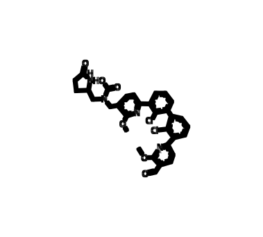 COc1nc(-c2cccc(-c3cccc(-c4ccc(CN(CC5CCC(=O)N5)C(=O)O)c(OC)n4)c3Cl)c2Cl)ccc1C=O